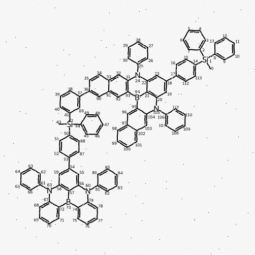 C[Si](c1ccccc1)(c1ccccc1)c1ccc(-c2cc3c4c(c2)N(c2ccccc2)c2cc5ccc(-c6cccc([Si](C)(c7ccccc7)c7ccc(-c8cc9c%10c(c8)N(c8ccccc8)c8ccccc8B%10c8ccccc8N9c8ccccc8)cc7)c6)cc5cc2B4c2cc4ccccc4cc2N3c2ccccc2)cc1